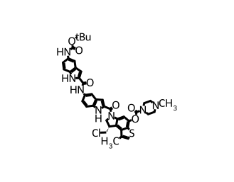 Cc1csc2c(OC(=O)N3CCN(C)CC3)cc3c(c12)[C@H](CCl)CN3C(=O)c1cc2cc(NC(=O)c3cc4cc(NC(=O)OC(C)(C)C)ccc4[nH]3)ccc2[nH]1